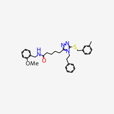 COc1ccccc1CNC(=O)CCCCc1nnc(SCc2cccc(C)c2)n1CCc1ccccc1